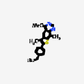 COc1ncnc2c(C)c3sc(-c4ccc(CC(C)(C)C)cc4)c(C)c3cc12